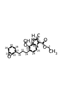 CCOC(=O)c1c(C)nc2c(OC)c(CCCc3cccc4c3O4)ccn12